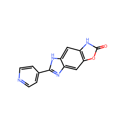 O=c1[nH]c2cc3[nH]c(-c4ccncc4)nc3cc2o1